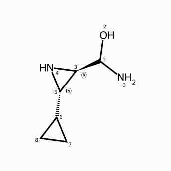 NC(O)[C@@H]1N[C@H]1C1CC1